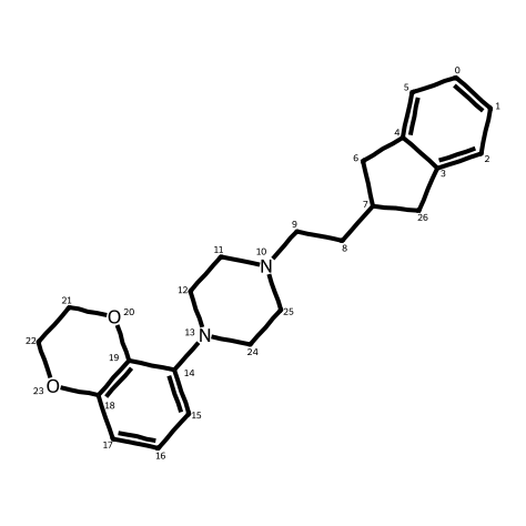 c1ccc2c(c1)CC(CCN1CCN(c3cccc4c3OCCO4)CC1)C2